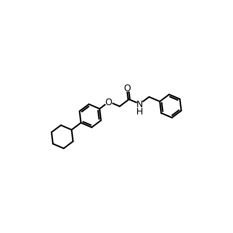 O=C(COc1ccc(C2CCCCC2)cc1)NCc1ccccc1